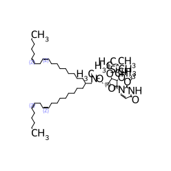 CCCCC/C=C\C/C=C\CCCCCCCCC(CCCCCCCC/C=C\C/C=C\CCCCC)CN(C)OC[C@H]1O[C@@H](n2ccc(=O)[nH]c2=O)C(OC)C1O[Si](C)(C)C(C)(C)C